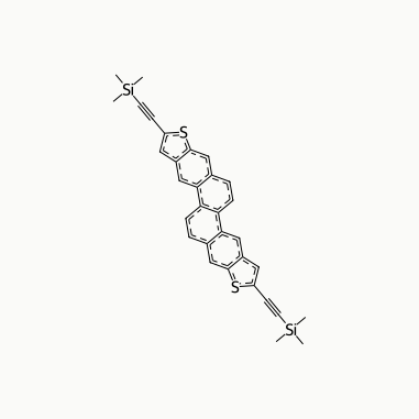 C[Si](C)(C)C#Cc1cc2cc3c(ccc4c5cc6cc(C#C[Si](C)(C)C)sc6cc5ccc34)cc2s1